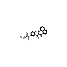 CNC(=O)Nc1ccc(C)c(C(=O)N[C@H](C)c2cccc3ccccc23)c1